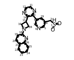 O=[SH](=O)Cc1cncc(-c2nccnc2C2CN(c3ccc4ccccc4n3)C2)c1